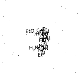 CCOC(=O)C(N[PH]1(O)OC[C@H]2O[C@@H](n3cnc4c(OCC)nc(N)nc43)[C@](C)(F)[C@@H]2O1)C(C)C